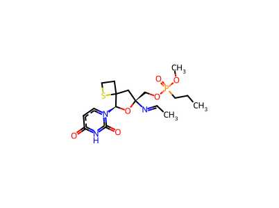 C/C=N/[C@@]1(COP(=O)(CCC)OC)CC2(CCS2)[C@H](n2ccc(=O)[nH]c2=O)O1